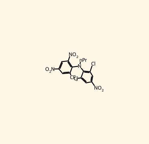 CCCN(c1c(Cl)cc([N+](=O)[O-])cc1Cl)c1c([N+](=O)[O-])cc([N+](=O)[O-])cc1C(F)(F)F